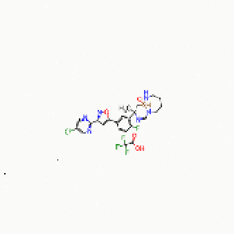 CC1(c2cc(-c3cc(-c4ncc(Cl)cn4)no3)ccc2F)C[SH]2(=O)NCCCCN2C=N1.O=C(O)C(F)(F)F